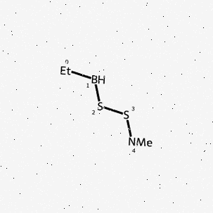 CCBSSNC